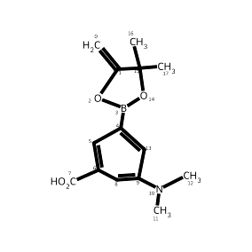 C=C1OB(c2cc(C(=O)O)cc(N(C)C)c2)OC1(C)C